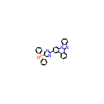 O=P(c1ccccc1)(c1ccccc1)c1cnc(-c2ccc3c(c2)c2ccccc2c2nc4ccccc4n32)nc1